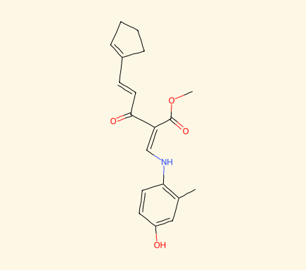 COC(=O)C(=CNc1ccc(O)cc1C)C(=O)C=CC1=CCCC1